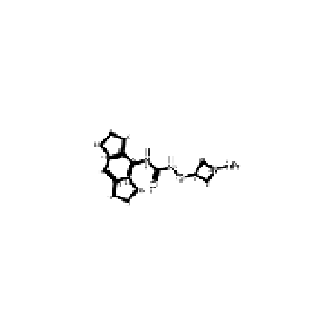 CCCN1CC(SNC(=O)Nc2c3c(cc4c2CCC4)CCC3)C1